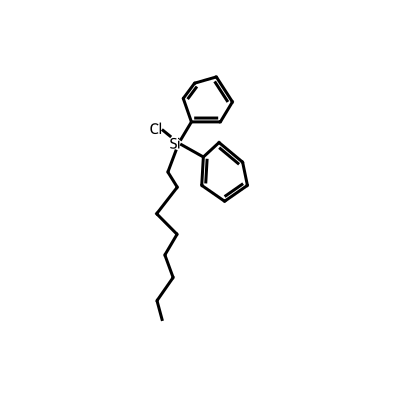 CCCCCCCC[Si](Cl)(c1ccccc1)c1ccccc1